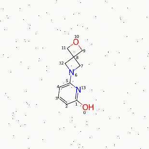 Oc1cccc(N2CC3(COC3)C2)n1